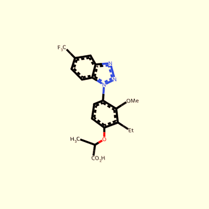 CCc1c(OC(C)C(=O)O)ccc(-n2nnc3cc(C(F)(F)F)ccc32)c1OC